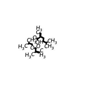 C/C=C(/C)C(=O)OCC(C)C.C/C=C(/CCC(C)C)C(=O)O